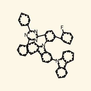 Fc1ccccc1-c1ccc(-c2nc(-c3ccccc3)nc(-c3ccccc3)n2)c(-n2c3ccccc3c3ccc(-n4c5ccccc5c5ccccc54)cc32)c1